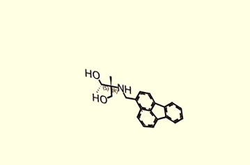 C[C@H](O)[C@@](C)(CO)NCc1ccc2c3c(cccc13)-c1ccccc1-2